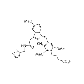 COc1ccc2c(c1)C(CC(=O)NCc1ccco1)=C(C)C2=Cc1cc(OC)c(SCCC(=O)O)c(OC)c1